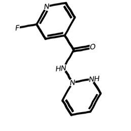 O=C(NN1C=CC=CN1)c1ccnc(F)c1